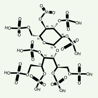 O=[SH](=O)O[C@H]1[C@H](OS(=O)(=O)O)[C@@H](OS(=O)(=O)O)[C@H](O[C@@H]([C@H](OS(=O)(=O)O)[C@H](COS(=O)(=O)O)OS(=O)(=O)O)[C@@H](COS(=O)(=O)O)OS(=O)(=O)O)O[C@@H]1COS(=O)(=O)O